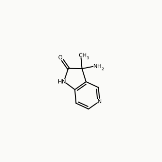 CC1(N)C(=O)Nc2ccncc21